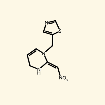 O=[N+]([O-])C=C1NCC=CN1Cc1cncs1